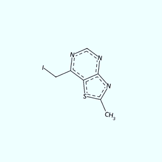 Cc1nc2ncnc(CI)c2s1